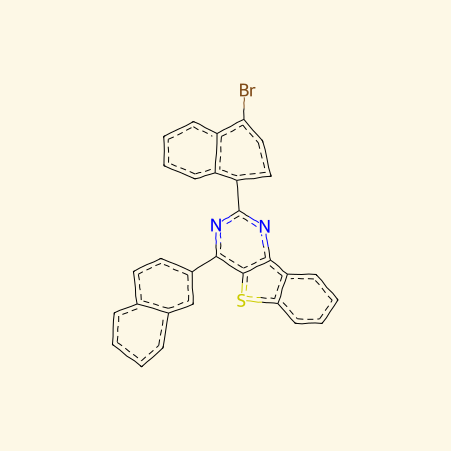 Brc1ccc(-c2nc(-c3ccc4ccccc4c3)c3sc4ccccc4c3n2)c2ccccc12